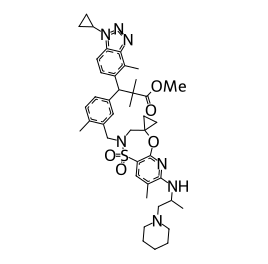 COC(=O)C(C)(C)C(c1ccc(C)c(CN2CC3(CC3)Oc3nc(NC(C)CN4CCCCC4)c(C)cc3S2(=O)=O)c1)c1ccc2c(nnn2C2CC2)c1C